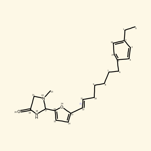 CCc1ccc(CCCCC/C=C/c2ccc(C3NC(=O)CN3C)o2)cc1